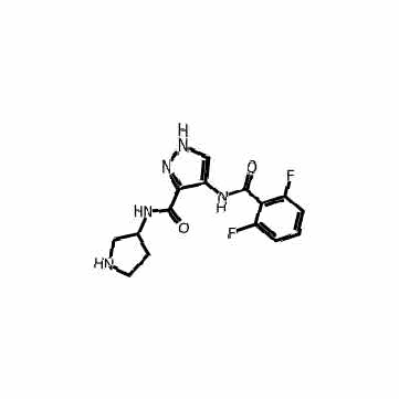 O=C(NC1CCNC1)c1n[nH]cc1NC(=O)c1c(F)cccc1F